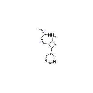 C/C=C(N)\C=C/C1C(C)CC1c1cccnc1